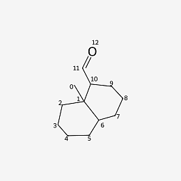 CC12CCCCC1CCCC2C=O